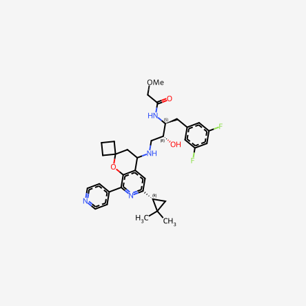 COCC(=O)N[C@@H](Cc1cc(F)cc(F)c1)[C@H](O)CNC1CC2(CCC2)Oc2c1cc([C@@H]1CC1(C)C)nc2-c1ccncc1